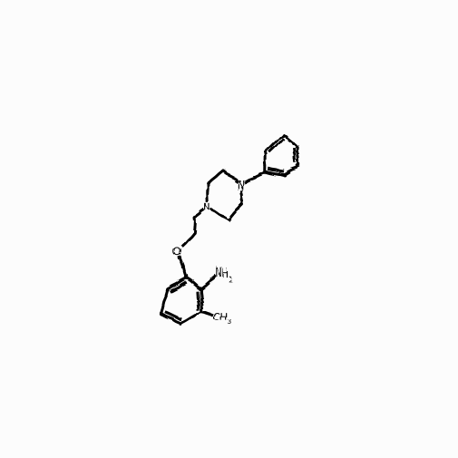 Cc1cccc(OCCN2CCN(c3ccccc3)CC2)c1N